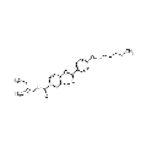 CCCCCCOc1ccc(C(=O)Oc2ccc(C(=O)OC[C@@H](C)CC)cc2Cl)cc1